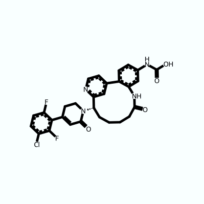 O=C(O)Nc1ccc2c(c1)NC(=O)CCCC[C@H](N1CCC(c3c(F)ccc(Cl)c3F)=CC1=O)c1cc-2ccn1